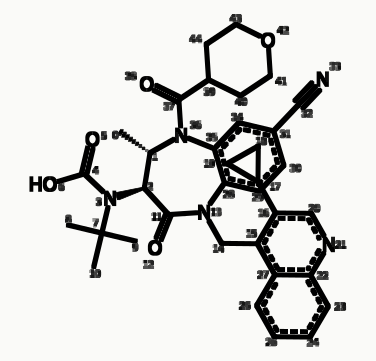 C[C@H]1[C@H](N(C(=O)O)C(C)(C)C)C(=O)N(Cc2c(C3CC3)cnc3ccccc23)c2ccc(C#N)cc2N1C(=O)C1CCOCC1